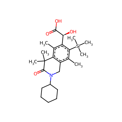 Cc1c([C@H](O)C(=O)O)c([Si](C)(C)C)c(C)c2c1C(C)(C)C(=O)N(C1CCCCC1)C2